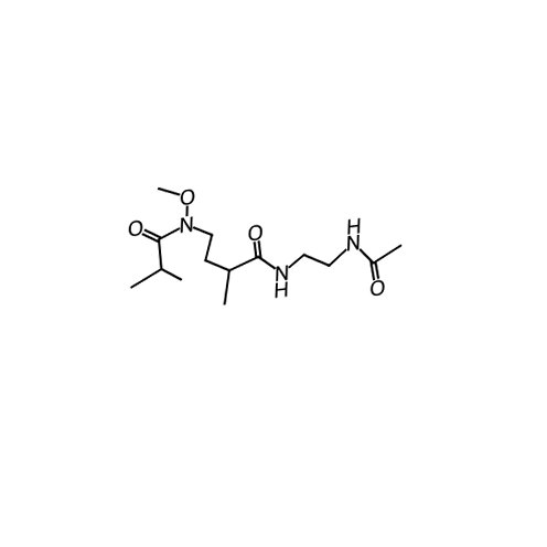 CON(CCC(C)C(=O)NCCNC(C)=O)C(=O)C(C)C